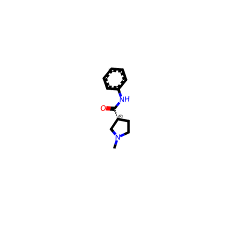 CN1CC[C@@H](C(=O)Nc2cc[c]cc2)C1